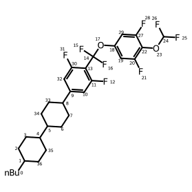 CCCCC1CCC(C2CCC(c3cc(F)c(C(F)(F)Oc4cc(F)c(OC(F)F)c(F)c4)c(F)c3)CC2)CC1